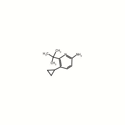 CC(C)(C)c1nc(N)ccc1C1CC1